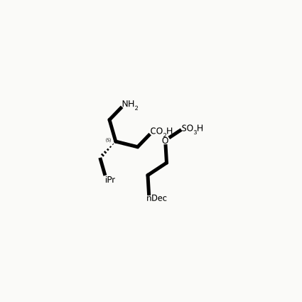 CC(C)C[C@H](CN)CC(=O)O.CCCCCCCCCCCCOS(=O)(=O)O